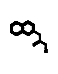 O=C(CCl)Cc1ccc2ccccc2c1